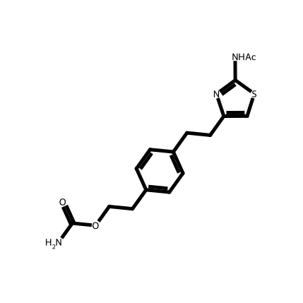 CC(=O)Nc1nc(CCc2ccc(CCOC(N)=O)cc2)cs1